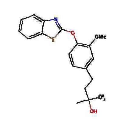 COc1cc(CCC(C)(O)C(F)(F)F)ccc1Oc1nc2ccccc2s1